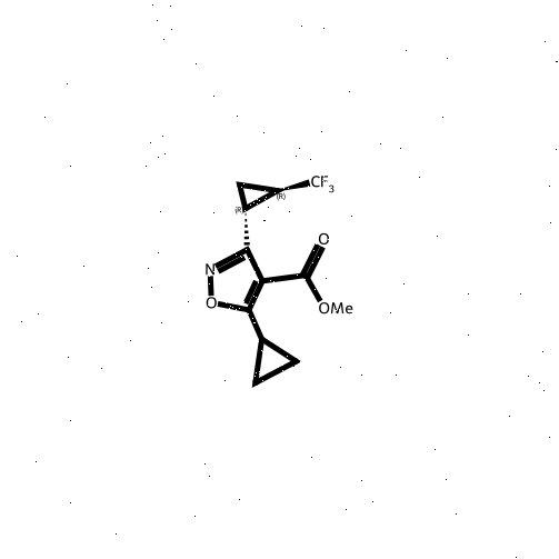 COC(=O)c1c([C@@H]2C[C@H]2C(F)(F)F)noc1C1CC1